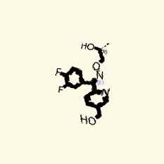 C[C@@H](O)CO/N=C(\c1ccc(F)c(F)c1)c1ccc(CO)cn1